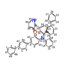 c1ccc(-c2ccc(-c3ccc(N(c4ccccc4-c4ccc(-c5ccccc5)cc4)c4cccc5c4oc4cccnc45)cc3)cc2)cc1